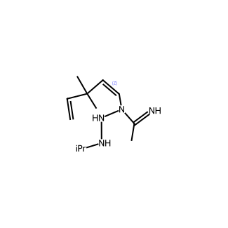 C=CC(C)(C)/C=C\N(NNC(C)C)C(C)=N